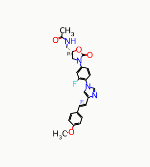 COc1ccc(/C=C/c2cn(-c3ccc(N4C[C@H](CNC(C)=O)OC4=O)cc3F)cn2)cc1